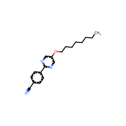 CCCCCCCCOc1cnc(-c2ccc(C#N)cc2)nc1